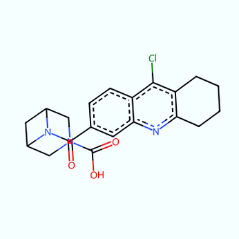 O=C(O)N1CC2CC(C1)N2C(=O)c1ccc2c(Cl)c3c(nc2c1)CCCC3